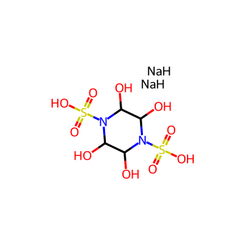 O=S(=O)(O)N1C(O)C(O)N(S(=O)(=O)O)C(O)C1O.[NaH].[NaH]